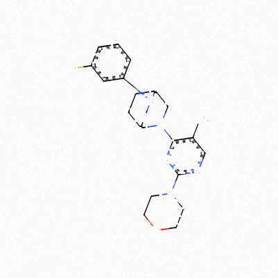 N#Cc1cnc(N2CCOCC2)nc1N1C[C@@H]2CCC1CN2c1cccc(F)c1